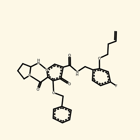 C=CCCOc1cc(F)ccc1CNC(=O)c1cn2c(c(OCc3ccccc3)c1=O)C(=O)N1CCCC1N2